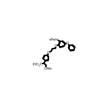 CCCCCc1cc(Oc2ccccc2)ccc1OCCCOc1ccc(C(COC)C(=O)OCC)cc1